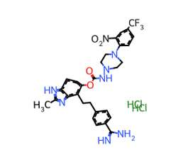 Cc1nc2c(CCc3ccc(C(=N)N)cc3)c(OC(=O)NN3CCN(c4ccc(C(F)(F)F)cc4[N+](=O)[O-])CC3)ccc2[nH]1.Cl.Cl